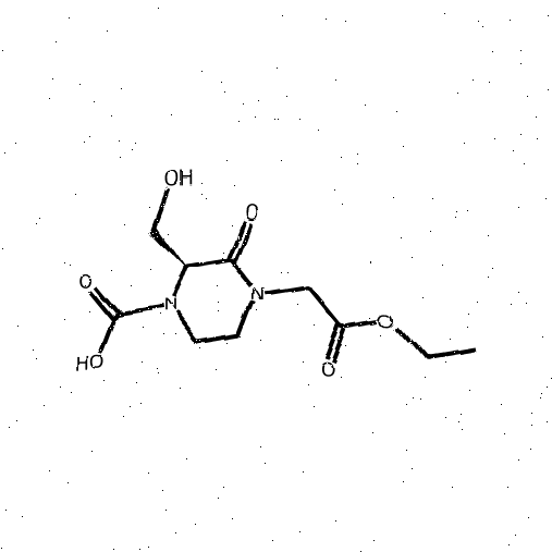 CCOC(=O)CN1CCN(C(=O)O)[C@@H](CO)C1=O